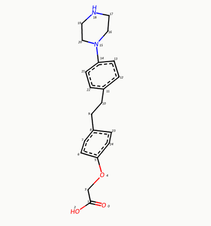 O=C(O)COc1ccc(CCc2ccc(N3CCNCC3)cc2)cc1